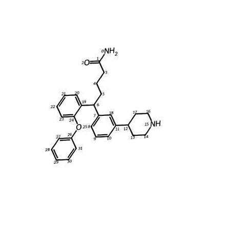 NC(=O)CCCC(c1cccc(C2CCNCC2)c1)c1ccccc1Oc1ccccc1